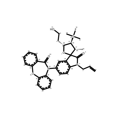 C=CCN1C(=O)C2(O[C@H](CCO)[C@@H](S(C)(C)F)[C@@H]2C)c2cc(N3C(=O)c4ccccc4Oc4ccccc43)ccc21